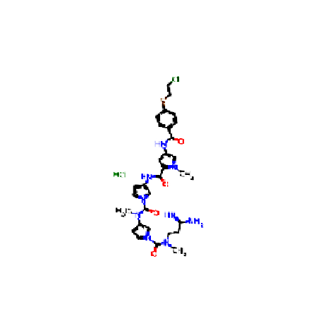 CN(CCC(=N)N)C(=O)n1ccc(N(C)C(=O)n2ccc(NC(=O)c3cc(NC(=O)c4ccc(SCCCl)cc4)cn3C)c2)c1.Cl